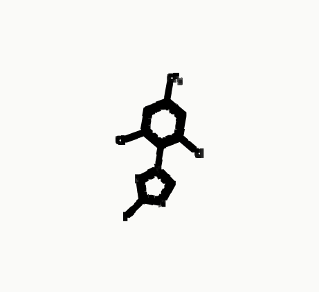 FC(F)(F)c1cc(Cl)c(-n2cnc(I)n2)c(Cl)c1